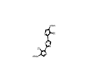 CCCCCCc1csc(-c2cnc(-c3scc(CCCCCC)c3CC)s2)c1CC